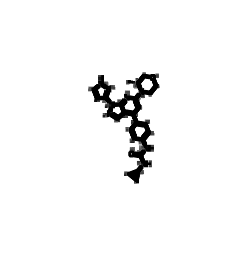 C[C@@H]1COCCN1c1cc(-c2ccc(NC(=O)NC3CC3)cc2)c2cnn(-c3cc[nH]n3)c2n1